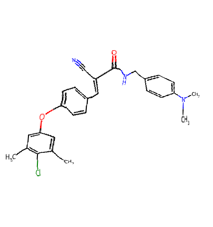 Cc1cc(Oc2ccc(/C=C(\C#N)C(=O)NCc3ccc(N(C)C)cc3)cc2)cc(C)c1Cl